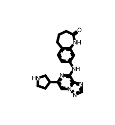 O=C1CCCc2ccc(Nc3nc(C4CCNC4)cn4ncnc34)cc2N1